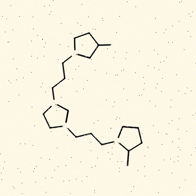 CC1CCCN1CCCN1CCN(CCCN2CCC(O)C2)C1